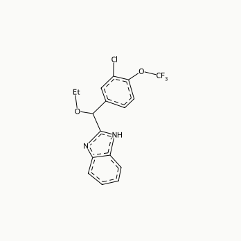 CCOC(c1ccc(OC(F)(F)F)c(Cl)c1)c1nc2ccccc2[nH]1